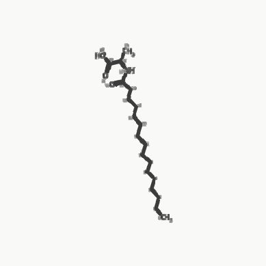 CCCCCCCCCCCCCCCC(=O)N[C@H](C)C(=O)O